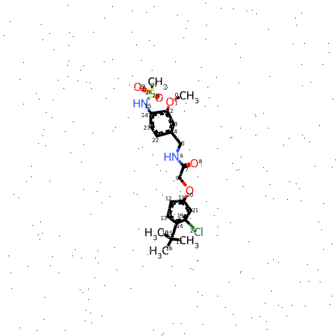 COc1cc(CNC(=O)COc2ccc(C(C)(C)C)c(Cl)c2)ccc1NS(C)(=O)=O